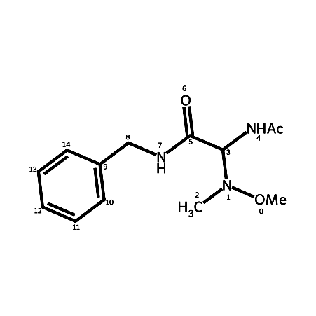 CON(C)C(NC(C)=O)C(=O)NCc1ccccc1